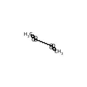 Cc1ccc(S(=O)(=O)OCCCCCCCCCCCCOS(=O)(=O)c2ccc(C)cc2)cc1